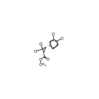 COC(=O)[C@@H]1[C@@H](c2ccc(Cl)c(Cl)c2)C1(Cl)Cl